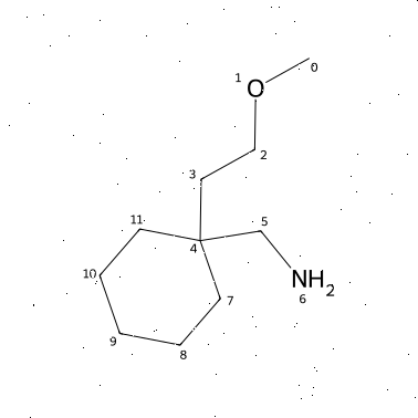 COCCC1(CN)CCCCC1